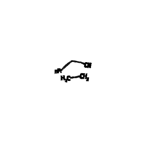 CC.CCCCC#N